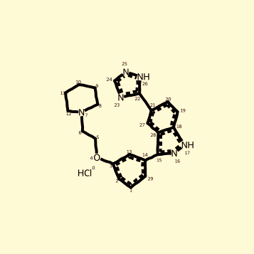 Cl.c1cc(OCCN2CCCCC2)cc(-c2n[nH]c3ccc(-c4ncn[nH]4)cc23)c1